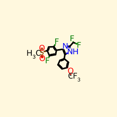 CS(=O)(=O)c1cc(F)c(-c2nc(C(F)F)[nH]c2-c2cccc(OC(F)(F)F)c2)cc1F